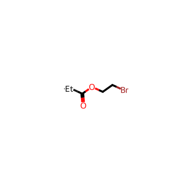 C[CH]C(=O)OCCBr